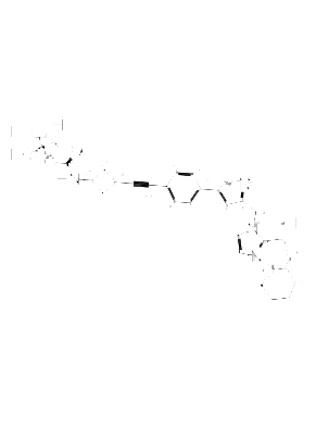 C[C@H](OC1CCCCO1)c1nccn1Cc1cc(-c2ccc(C#CC3CC(NC(=O)OC(C)(C)C)C3)cc2)on1